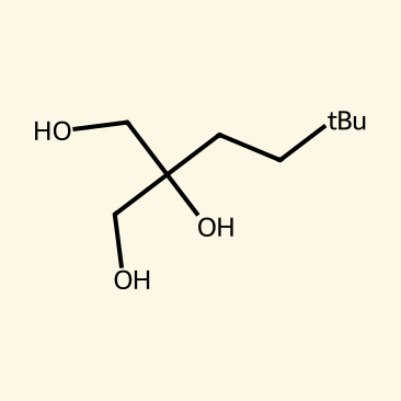 CC(C)(C)CCC(O)(CO)CO